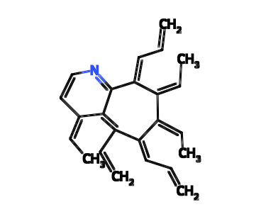 C=C/C=C1C(C=C)=c2c(ncc/c2=C/C)C(=C/C=C)/C(=C\C)C/1=C/C